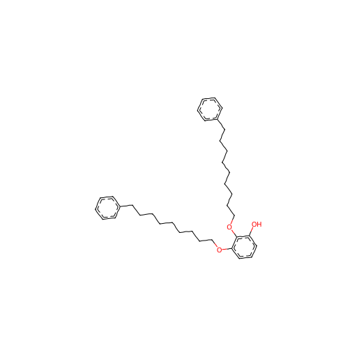 Oc1cccc(OCCCCCCCCCc2ccccc2)c1OCCCCCCCCCc1ccccc1